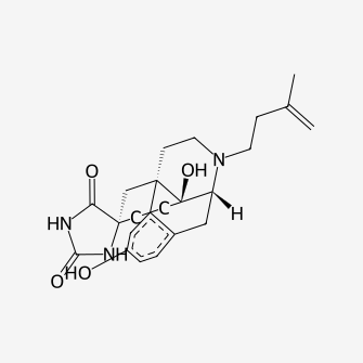 C=C(C)CCN1CC[C@]23C[C@]4(CC[C@@]2(O)[C@H]1Cc1ccc(O)cc13)NC(=O)NC4=O